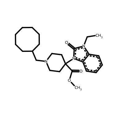 CCn1c(=O)n(C2(C(=O)OC)CCN(CC3CCCCCCC3)CC2)c2ccccc21